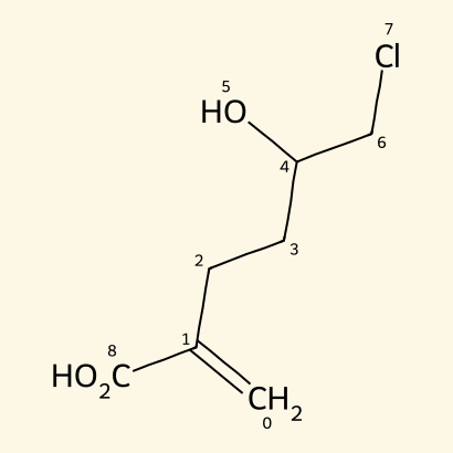 C=C(CCC(O)CCl)C(=O)O